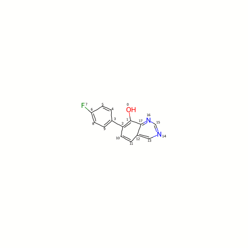 Oc1c(-c2ccc(F)cc2)ccc2cncnc12